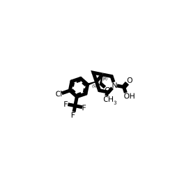 COC[C@@]12CN(C(=O)O)CC[C@]1(c1ccc(Cl)c(C(F)(F)F)c1)C2